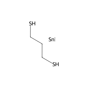 SCCCS.[Sn]